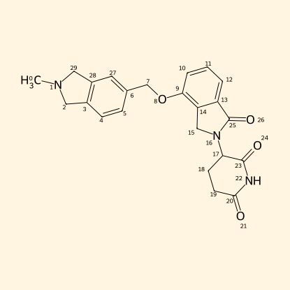 CN1Cc2ccc(COc3cccc4c3CN(C3CCC(=O)NC3=O)C4=O)cc2C1